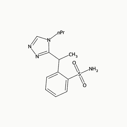 CCCn1cnnc1C(C)c1ccccc1S(N)(=O)=O